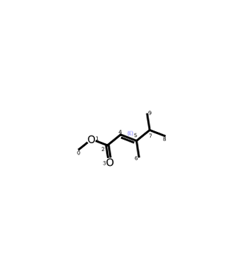 COC(=O)/C=C(\C)C(C)C